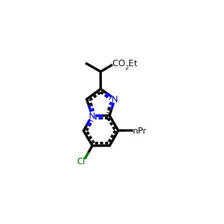 CCCc1cc(Cl)cn2cc(C(C)C(=O)OCC)nc12